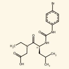 CCN(CC(=O)O)C(=O)[C@H](CC(C)C)NC(=O)Nc1ccc(Br)cc1